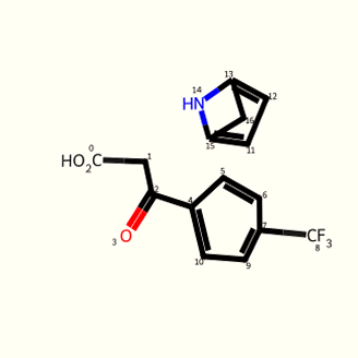 O=C(O)CC(=O)c1ccc(C(F)(F)F)cc1.c1cc2[nH]c1C2